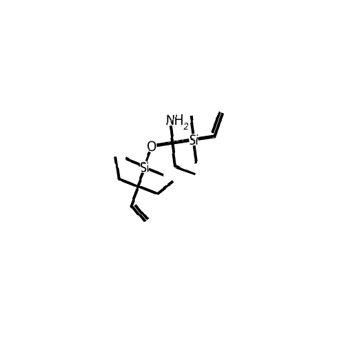 C=CC(CC)(CC)[Si](C)(C)OC(N)(CC)[Si](C)(C)C=C